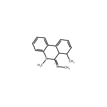 C/N=C1\C2C(=CC=CC2C)c2ccccc2N1C